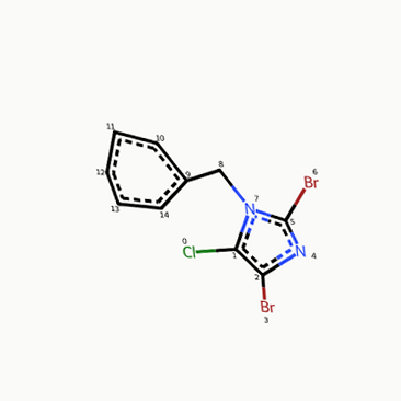 Clc1c(Br)nc(Br)n1Cc1ccccc1